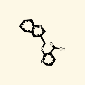 O=C(O)c1cccnc1SCc1cnc2ccccc2c1